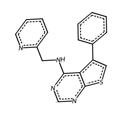 [c]1nc(NCc2ccccn2)c2c(-c3ccccc3)csc2n1